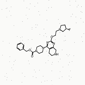 O=C(OCc1ccccc1)N1CCN(c2nc(OCCN3CC[C@@H](F)C3)nc3c2CCNC3)CC1